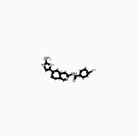 Nc1ncc(-c2ccc3cnc(NC(=O)c4ccc(F)cc4)cc3c2)s1